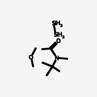 CC(=O)N(C)C(C)(C)C.COC.[SiH3][SiH3]